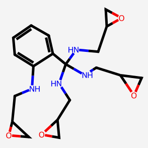 c1ccc(C(NCC2CO2)(NCC2CO2)NCC2CO2)c(NCC2CO2)c1